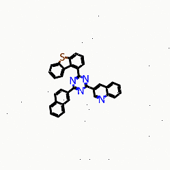 c1ccc2cc(-c3nc(-c4cnc5ccccc5c4)nc(-c4cccc5sc6ccccc6c45)n3)ccc2c1